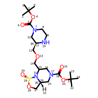 CC(C)(C)OC(=O)N1CCN[C@@H](COCC2CN(C(=O)OC(C)(C)C)C[C@@H]3COS(=O)N23)C1